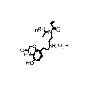 C=CC(=O)N(CCN(CCc1ccc(O)c2c1OCC(=O)N2)C(=O)O)C(C)CCCC